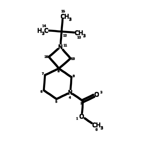 COC(=O)N1CCCC2(C1)CN(C(C)(C)C)C2